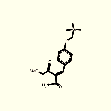 COCC(=O)/C(=C\c1ccc(OC[Si](C)(C)C)cc1)C(N)=O